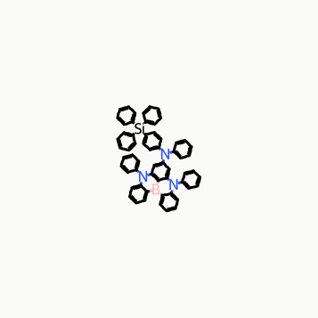 c1ccc(N(c2ccc([Si](c3ccccc3)(c3ccccc3)c3ccccc3)cc2)c2cc3c4c(c2)N(c2ccccc2)c2ccccc2B4c2ccccc2N3c2ccccc2)cc1